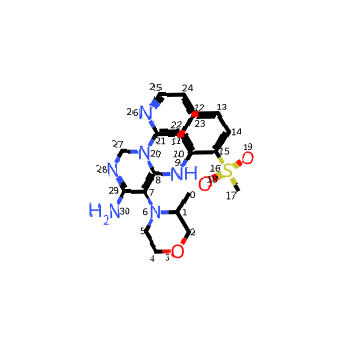 CC1COCCN1C1=C(Nc2ccccc2S(C)(=O)=O)N(c2ccccn2)CN=C1N